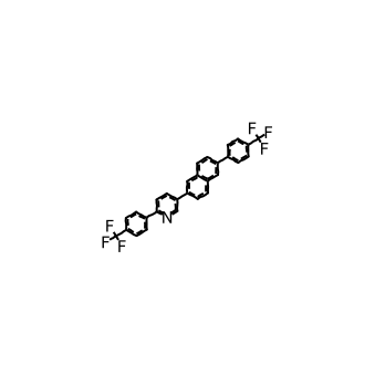 FC(F)(F)c1ccc(-c2ccc3cc(-c4ccc(-c5ccc(C(F)(F)F)cc5)nc4)ccc3c2)cc1